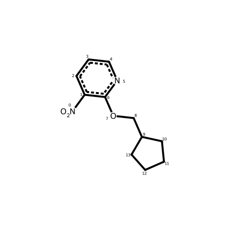 O=[N+]([O-])c1cccnc1OCC1CCCC1